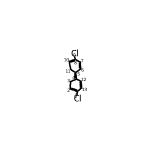 ClC1=CCC(=C2C=CC(Cl)=CC2)C=C1